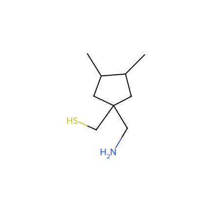 CC1CC(CN)(CS)CC1C